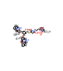 C=C(CCCN1[C@H](O)CC(SC[C@@H]2C=C(COC3=C(OC)C[C@H]4C(=O)N5[C@H](CNC4C3)C[C@@H]3CCCC[C@@H]35)C[C@H](COC3=C(OC)C[C@@H]4C(=O)N5[C@H](CN[C@@H]4C3)C[C@H]3CCCC[C@H]35)C2)[C@@H]1O)ON1C(O)CC(S(=O)(=O)O)C1O